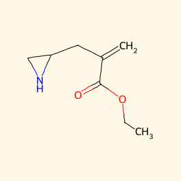 C=C(CC1CN1)C(=O)OCC